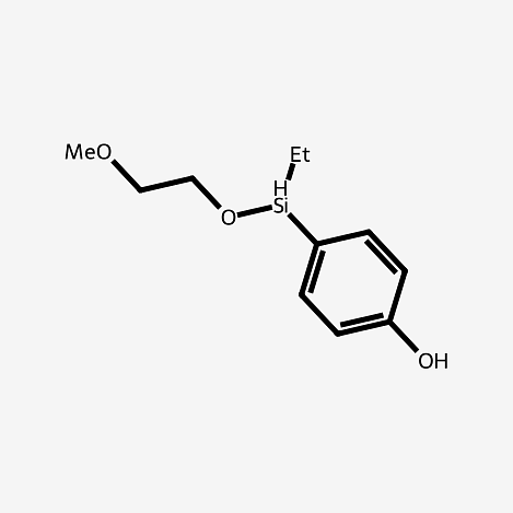 CC[SiH](OCCOC)c1ccc(O)cc1